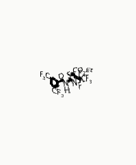 CCOC(=O)c1sc(NC(=O)c2cc(C(F)(F)F)cc(C(F)(F)F)c2)nc1C(F)(F)C(F)(F)F